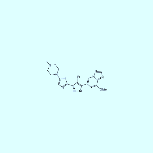 COc1cc(-c2[nH]nc(-c3ncc(N4CCN(C)CC4)s3)c2C(C)C)cn2ncnc12